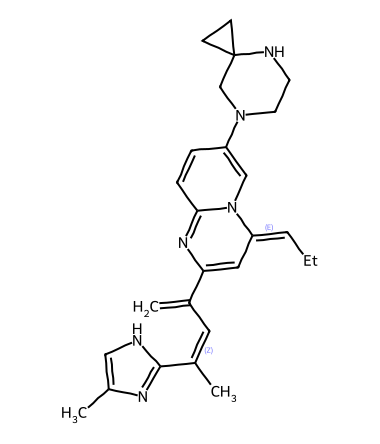 C=C(/C=C(/C)c1nc(C)c[nH]1)C1=C/C(=C\CC)N2C=C(N3CCNC4(CC4)C3)C=CC2=N1